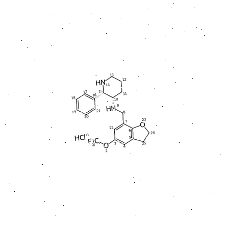 Cl.FC(F)(F)Oc1cc2c(c(CN[C@H]3CCCN[C@H]3c3ccccc3)c1)OCC2